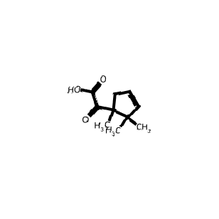 CC1(C)C=CCC1(C)C(=O)C(=O)O